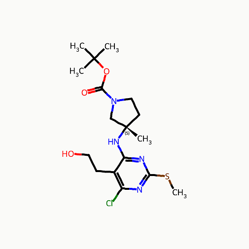 CSc1nc(Cl)c(CCO)c(N[C@@]2(C)CCN(C(=O)OC(C)(C)C)C2)n1